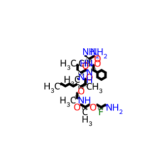 CCCCCC[C@@H](OC[C@@H](C)NC(=O)[C@@H](C)COC[C@@H](F)CN)[C@@H](C)C(=O)N(C)[C@@H](CC(C)C)C(=O)N[C@H](C(=O)N[C@@H](CN)C(N)=O)C1CCCCC1